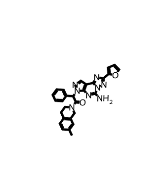 Cc1ccc2c(c1)CN(C(=O)C(c1ccccc1)n1ncc3c1nc(N)n1nc(-c4ccco4)nc31)CC2